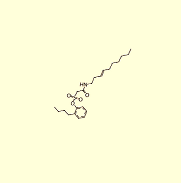 CCCCCCC=CCCNC(=O)CS(=O)(=O)Oc1ccccc1CCCC